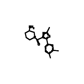 Cc1nc(C(=O)N2CCCC(N)C2)c(-c2ccc(C)c(C)c2)s1